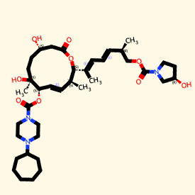 C/C(=C\C=C\[C@@H](C)COC(=O)N1CC[C@@H](O)C1)[C@H]1OC(=O)C[C@@H](O)CC[C@](C)(O)[C@@H](OC(=O)N2CCN(C3CCCCCC3)CC2)/C=C/[C@@H]1C